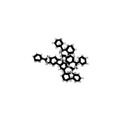 c1ccc(-c2nc3cc4c(cc3s2)c2cc(-c3cccc5c6ccccc6n(-c6nc(-c7ccccc7)c7ccccc7n6)c35)ccc2n4-c2nc(-c3ccccc3)c3ccccc3n2)cc1